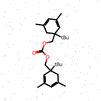 CC1=CC(COC(=O)OCC2(C(C)(C)C)C=C(C)C=C(C)C2)(C(C)(C)C)CC(C)=C1